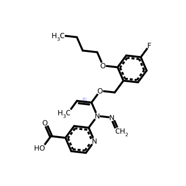 C=NN(/C(=C\C)OCc1ccc(F)cc1OCCCC)c1cc(C(=O)O)ccn1